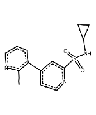 Cc1ncccc1-c1ccnc(S(=O)(=O)NC2CC2)c1